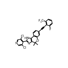 CC1(C)Oc2cc(C#Cc3c(F)cccc3C(F)(F)F)ccc2-c2[nH]c(-c3c(Cl)cncc3Cl)nc21